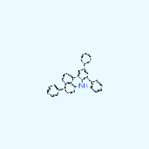 c1ccc(-c2ccc(Nc3c(-c4ccccc4)cc(-c4ccccc4)cc3-c3ccccc3)cc2)cc1